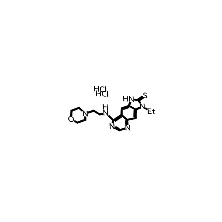 CCn1c(=S)[nH]c2cc3c(NCCN4CCOCC4)ncnc3cc21.Cl.Cl